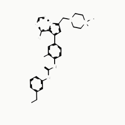 CCc1cccc(NC(=O)Nc2ccc(-c3cc(CN4CCS(O)(O)CC4)n4ncnc(N)c34)cc2F)c1